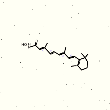 CC1=C(/C=C/C(C)=C/C=C/C(C)=C/C(=O)NO)C(C)(C)CCC1